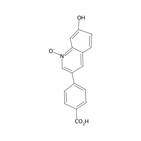 O=C(O)c1ccc(-c2cc3ccc(O)cc3[n+]([O-])c2)cc1